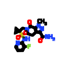 Cn1nc(C(N)=O)c2c1C(=O)N(CC1(S(=O)(=O)Nc3ncccc3F)CC1)CC2